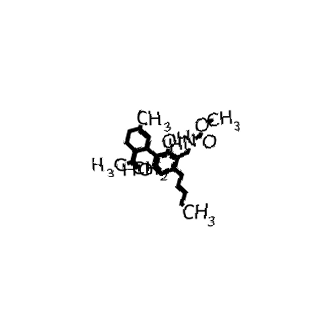 C=C(C)C1CCC(C)=CC1c1c(O)cc(CCCCC)c(CNC(=O)OC)c1O